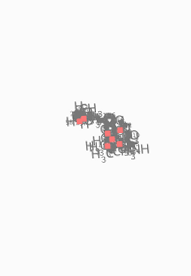 CC(C)(C)OC(=O)N[C@@H](C(=O)N1CC(Oc2ccc(CCB3O[C@@H]4C[C@@H]5C[C@@H](C5(C)C)[C@]4(C)O3)c(OC(=O)OC(C)(C)C)c2C(=O)OC(C)(C)C)C1)c1c[nH]cn1